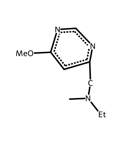 CCN(C)Cc1cc(OC)ncn1